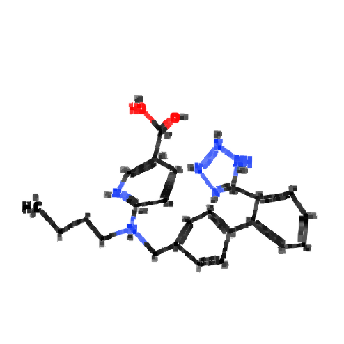 CCCCN(Cc1ccc(-c2ccccc2-c2nnn[nH]2)cc1)c1ccc(C(=O)O)cn1